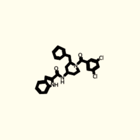 O=C(NC1CCN(C(=O)c2cc(Cl)cc(Cl)c2)C(Cc2ccccc2)C1)c1cc2ccccc2[nH]1